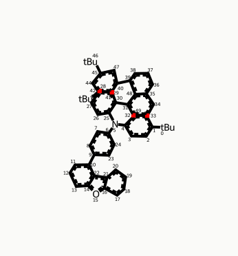 CC(C)(C)c1ccc(N(c2ccc(-c3cccc4oc5ccccc5c34)cc2)c2ccccc2-c2cccc3cccc(-c4cc(C(C)(C)C)cc(C(C)(C)C)c4)c23)cc1